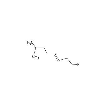 CC(CCC=CCCF)C(F)(F)F